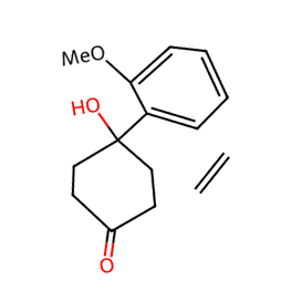 C=C.COc1ccccc1C1(O)CCC(=O)CC1